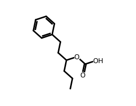 CCCC(CCc1ccccc1)OC(=O)O